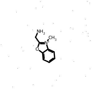 C[n+]1c(CN)oc2ccccc21